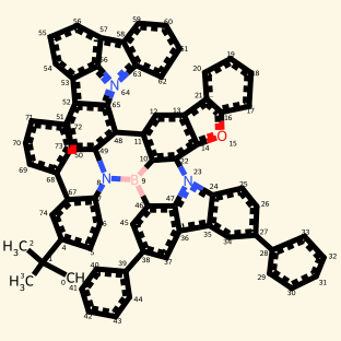 CC(C)(C)c1ccc(N2B3c4c(cc5c(oc6ccccc65)c4-n4c5ccc(-c6ccccc6)cc5c5cc(-c6ccccc6)cc3c54)-c3c2ccc2c4cccc5c6ccccc6n(c32)c54)c(-c2ccccc2)c1